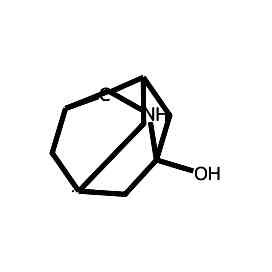 OC12C[C]3CC(CN1)CC(C3)C2